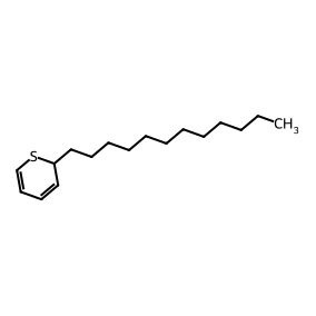 CCCCCCCCCCCCC1C=CC=CS1